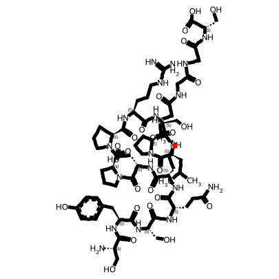 CSCC[C@H](NC(=O)[C@H](CCC(N)=O)NC(=O)[C@H](CO)NC(=O)[C@H](Cc1ccc(O)cc1)NC(=O)[C@@H](N)CO)C(=O)N[C@@H](CC(=O)O)C(=O)N1CCC[C@H]1C(=O)N1CCC[C@H]1C(=O)N[C@@H](CCCNC(=N)N)C(=O)N[C@@H](CO)C(=O)N[C@@H](CC(C)C)C(=O)N1CCC[C@H]1C(=O)NCC(=O)NCC(=O)NCC(=O)N[C@@H](CO)C(=O)O